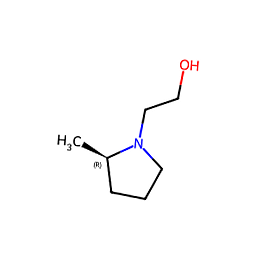 C[C@@H]1CCCN1CCO